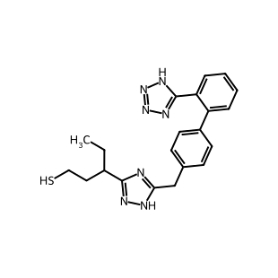 CCC(CCS)c1n[nH]c(Cc2ccc(-c3ccccc3-c3nnn[nH]3)cc2)n1